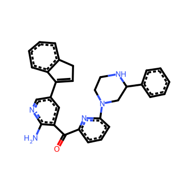 Nc1ncc(C2=CCc3ccccc32)cc1C(=O)c1cccc(N2CCNC(c3ccccc3)C2)n1